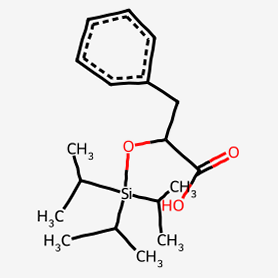 CC(C)[Si](OC(Cc1ccccc1)C(=O)O)(C(C)C)C(C)C